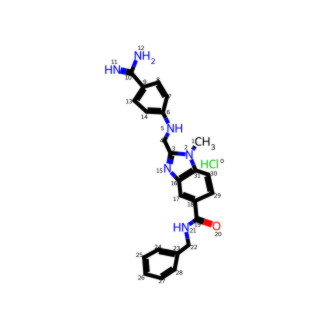 Cl.Cn1c(CNc2ccc(C(=N)N)cc2)nc2cc(C(=O)NCc3ccccc3)ccc21